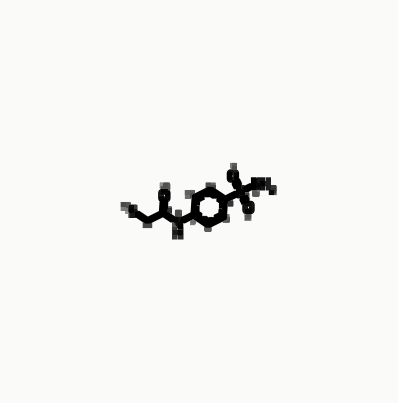 NS(=O)(=O)c1ccc(NC(=O)C[S])cc1